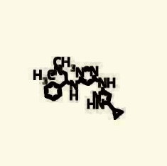 CN(C)CC(Nc1cc(Nc2cc(C3CC3)[nH]n2)ncn1)c1ccccc1